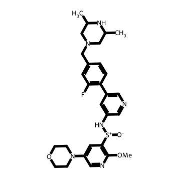 COc1ncc(N2CCOCC2)cc1[S+]([O-])Nc1cncc(-c2ccc(CN3CC(C)NC(C)C3)cc2F)c1